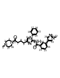 CN1CCN(C(=O)CCCc2cn(-c3ccccc3)c(NC(=O)c3cccc(-c4cnn(C)c4)c3)n2)CC1